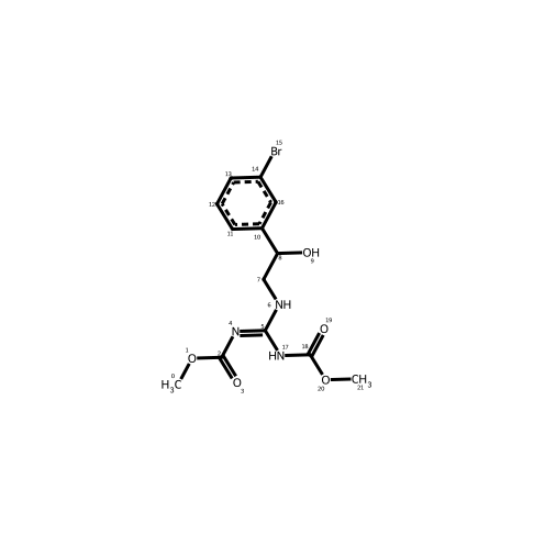 COC(=O)N=C(NCC(O)c1cccc(Br)c1)NC(=O)OC